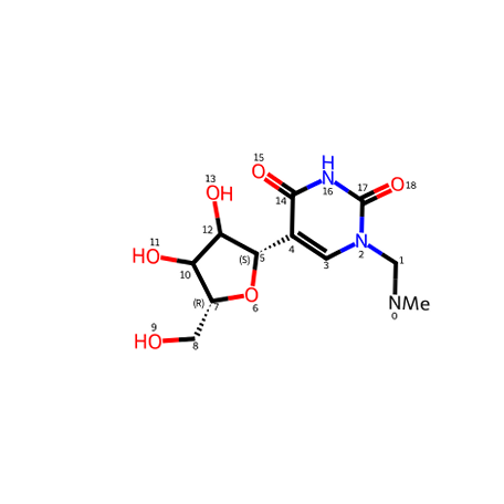 CNCn1cc([C@@H]2O[C@H](CO)C(O)C2O)c(=O)[nH]c1=O